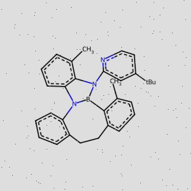 Cc1cccc2c1B1N(c3ccccc3CC2)c2cccc(C)c2N1c1cc(C(C)(C)C)ccn1